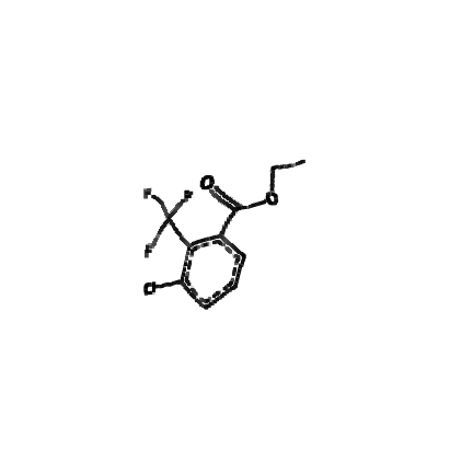 CCOC(=O)c1cccc(Cl)c1C(F)(F)F